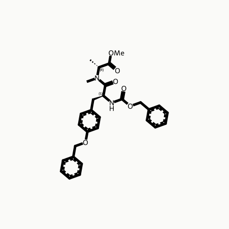 COC(=O)[C@@H](C)N(C)C(=O)[C@H](Cc1ccc(OCc2ccccc2)cc1)NC(=O)OCc1ccccc1